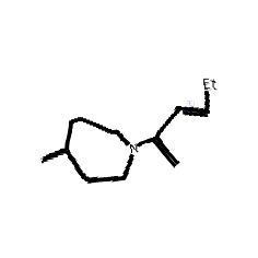 C=C(/C=C/CC)N1CCC(C)CC1